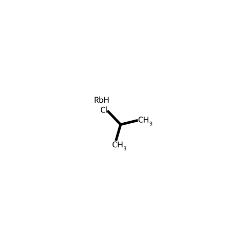 CC(C)Cl.[RbH]